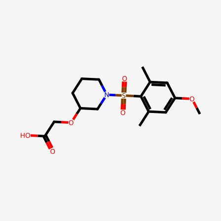 COc1cc(C)c(S(=O)(=O)N2CCCC(OCC(=O)O)C2)c(C)c1